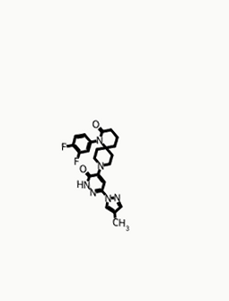 Cc1cnn(-c2cc(N3CCC4(CCCC(=O)N4c4ccc(F)c(F)c4)CC3)c(=O)[nH]n2)c1